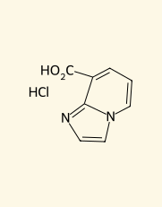 Cl.O=C(O)c1cccn2ccnc12